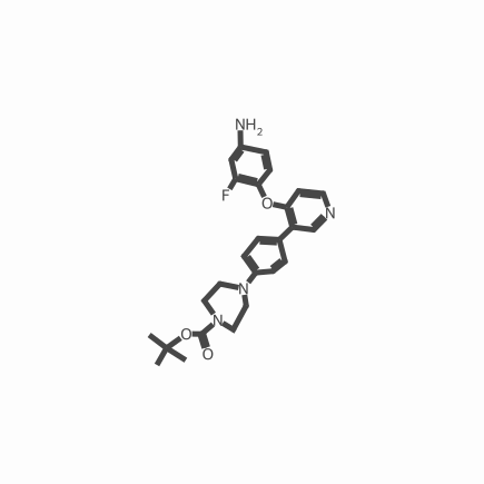 CC(C)(C)OC(=O)N1CCN(c2ccc(-c3cnccc3Oc3ccc(N)cc3F)cc2)CC1